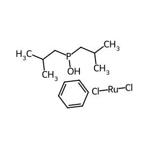 CC(C)CP(O)CC(C)C.[Cl][Ru][Cl].c1ccccc1